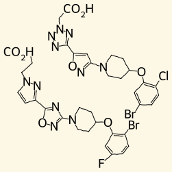 O=C(O)CCn1ccc(-c2nc(N3CCC(Oc4cc(F)ccc4Br)CC3)no2)n1.O=C(O)Cn1nnc(-c2cc(N3CCC(Oc4cc(Br)ccc4Cl)CC3)no2)n1